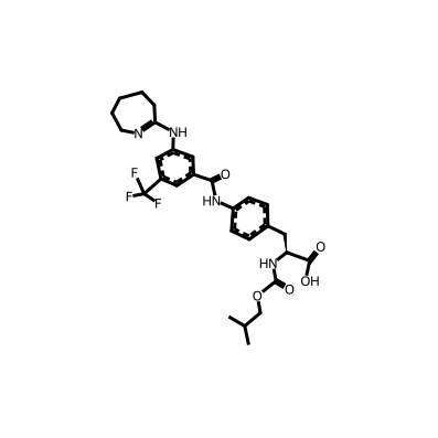 CC(C)COC(=O)N[C@@H](Cc1ccc(NC(=O)c2cc(NC3=NCCCCC3)cc(C(F)(F)F)c2)cc1)C(=O)O